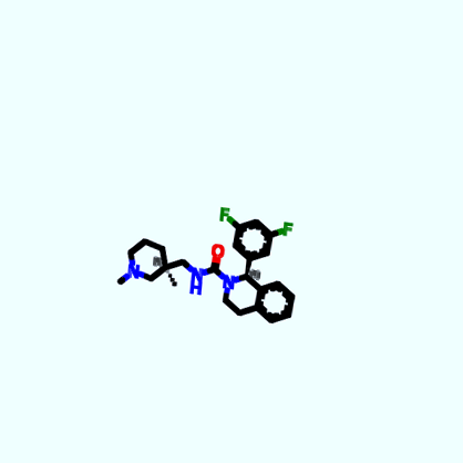 CN1CCC[C@@](C)(CNC(=O)N2CCc3ccccc3[C@@H]2c2cc(F)cc(F)c2)C1